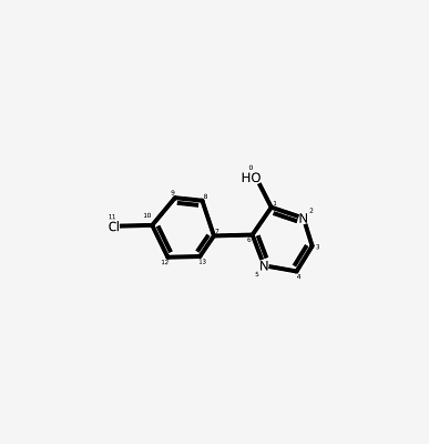 Oc1nccnc1-c1ccc(Cl)cc1